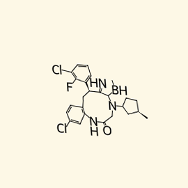 CBC1C(=N)[C@H](c2cccc(Cl)c2F)Cc2ccc(Cl)cc2NC(=O)CN1C1CC[C@@H](C)C1